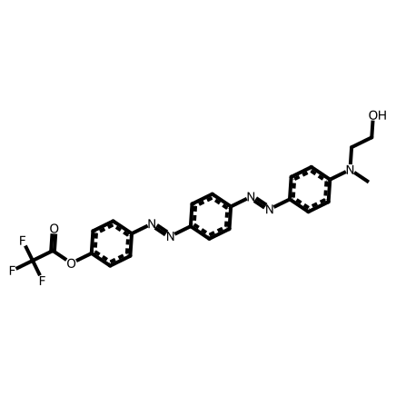 CN(CCO)c1ccc(N=Nc2ccc(N=Nc3ccc(OC(=O)C(F)(F)F)cc3)cc2)cc1